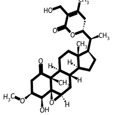 CO[C@H]1CC(=O)[C@]2(C)[C@H]3CC[C@]4(C)[C@@H]([C@H](C)[C@H]5CC(C)=C(CO)C(=O)O5)CC[C@H]4[C@@H]3C[C@H]3O[C@]32[C@H]1O